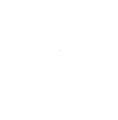 CCCN(CCC)C(=O)C(=O)OC1CC(C)CCC1C(C)C